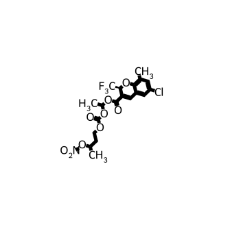 Cc1cc(Cl)cc2c1O[C@H](C(F)(F)F)C(C(=O)OC(C)OC(=O)OCCC(C)O[N+](=O)[O-])=C2